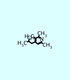 Cc1cc(CC(C)C)c(C)c(C)n1